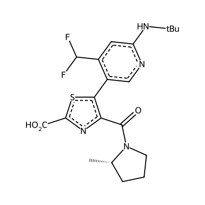 C[C@H]1CCCN1C(=O)c1nc(C(=O)O)sc1-c1cnc(NC(C)(C)C)cc1C(F)F